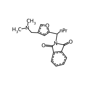 CCCC(c1cc(CN(C)C)co1)N1C(=O)c2ccccc2C1=O